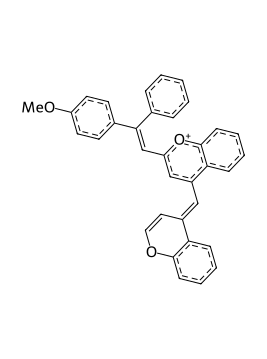 COc1ccc(C(=Cc2cc(C=C3C=COc4ccccc43)c3ccccc3[o+]2)c2ccccc2)cc1